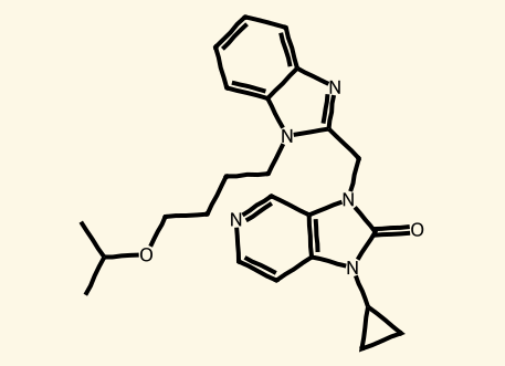 CC(C)OCCCCn1c(Cn2c(=O)n(C3CC3)c3ccncc32)nc2ccccc21